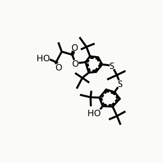 CC(C(=O)O)C(=O)Oc1c(C(C)(C)C)cc(SC(C)(C)Sc2cc(C(C)(C)C)c(O)c(C(C)(C)C)c2)cc1C(C)(C)C